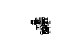 OB(O)O.OB(O)O.OB(O)O.[I-].[K+].[Na+].[O-]B(O)O